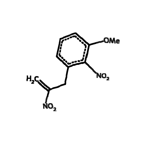 C=C(Cc1cccc(OC)c1[N+](=O)[O-])[N+](=O)[O-]